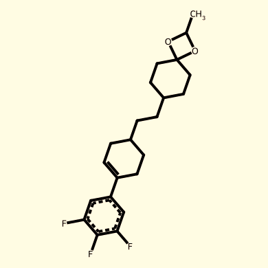 CC1OC2(CCC(CCC3CC=C(c4cc(F)c(F)c(F)c4)CC3)CC2)O1